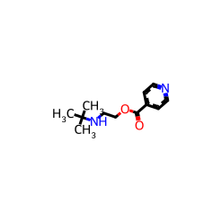 CC(C)(C)NCCOC(=O)c1ccncc1